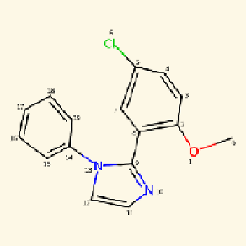 COc1ccc(Cl)cc1-c1nccn1-c1ccccc1